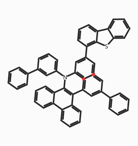 c1ccc(-c2cccc(-c3c(N(c4cccc(-c5ccccc5)c4)c4cccc(-c5cccc6c5sc5ccccc56)c4)c4ccccc4c4ccccc34)c2)cc1